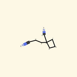 N#CCCC1(C#N)CCC1